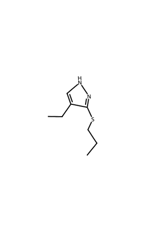 CCCSc1n[nH]cc1CC